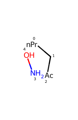 CCCCC(C)=O.NO